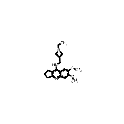 CCN1CC(CNc2c3c(nc4cc(OC)c(OC)cc24)CCC3)C1